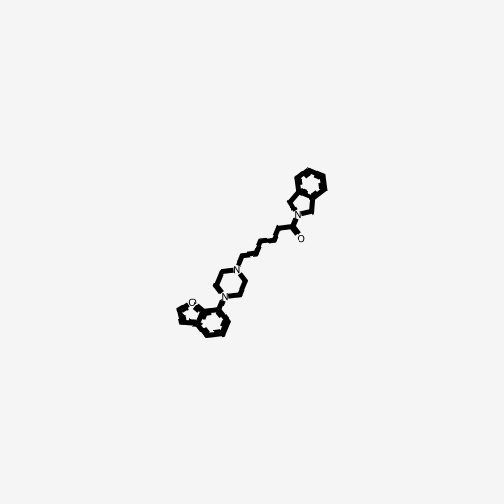 O=C(CCCCCN1CCN(c2cccc3ccoc23)CC1)N1Cc2ccccc2C1